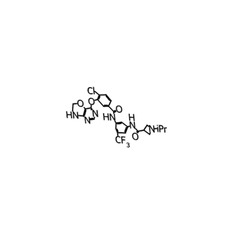 CC(C)N1CC(C(=O)Nc2cc(NC(=O)c3ccc(Cl)c(Oc4ncnc5c4OCCN5)c3)cc(C(F)(F)F)c2)C1